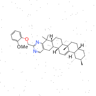 COc1ccccc1OCc1ncc2c(n1)C(C)(C)[C@@H]1CC[C@]3(C)[C@H](CC=C4[C@H]5[C@@H](CC[C@@H](C)[C@@H]5C)CC[C@]43C)[C@@]1(C)C2